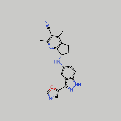 Cc1nc2c(c(C)c1C#N)CC[C@@H]2Nc1ccc2[nH]nc(-c3cnco3)c2c1